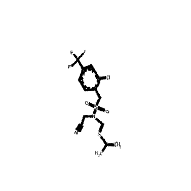 CC(C)SCN(CC#N)S(=O)(=O)Cc1ccc(C(F)(F)F)cc1Cl